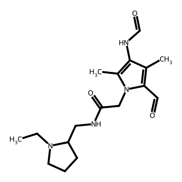 CCN1CCCC1CNC(=O)Cn1c(C)c(NC=O)c(C)c1C=O